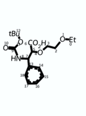 CCOCCOC(C(=O)O)C(NC(=O)OC(C)(C)C)c1ccccc1